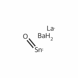 [BaH2].[La].[O]=[Sn]